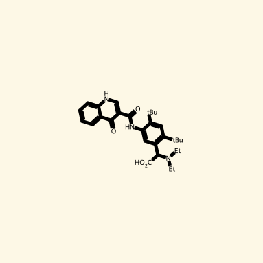 CCN(CC)C(C(=O)O)c1cc(NC(=O)c2c[nH]c3ccccc3c2=O)c(C(C)(C)C)cc1C(C)(C)C